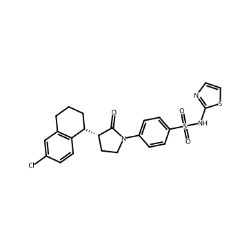 O=C1[C@@H](C2CCCc3cc(Cl)ccc32)CCN1c1ccc(S(=O)(=O)Nc2nccs2)cc1